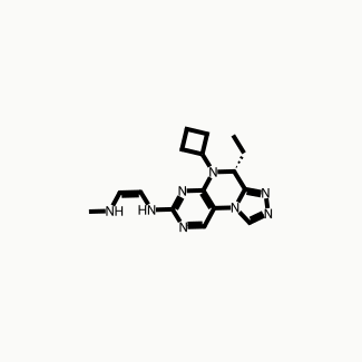 CC[C@@H]1c2nncn2-c2cnc(N/C=C\NC)nc2N1C1CCC1